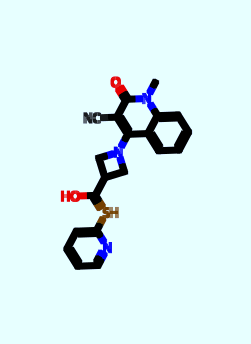 Cn1c(=O)c(C#N)c(N2CC(C(O)=[SH]c3ccccn3)C2)c2ccccc21